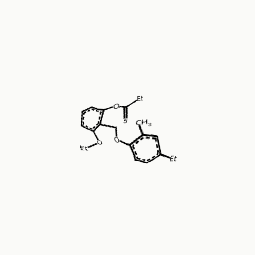 CCOc1cccc(OC(=S)CC)c1COc1ccc(CC)cc1C